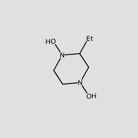 CCC1CN(O)CCN1O